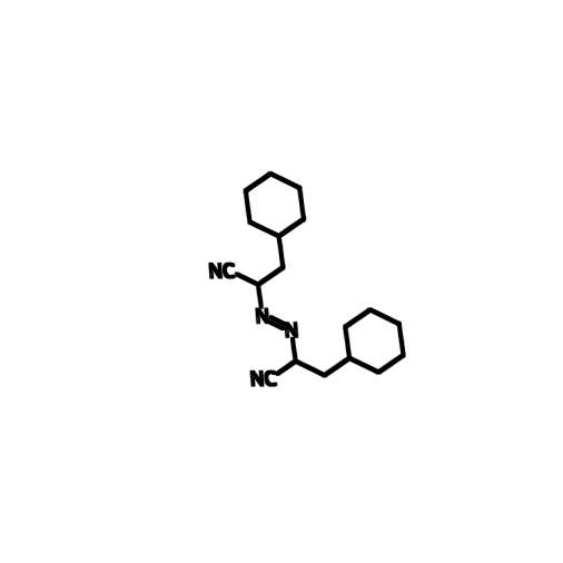 N#CC(CC1CCCCC1)N=NC(C#N)CC1CCCCC1